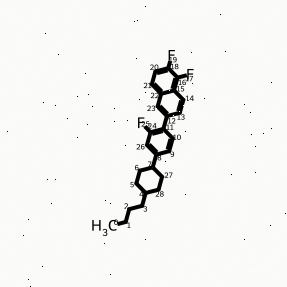 CCCCC1CCC(c2ccc(-c3ccc4c(F)c(F)ccc4c3)c(F)c2)CC1